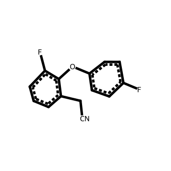 N#CCc1cccc(F)c1Oc1ccc(F)cc1